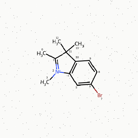 CC1=[N+](C)c2cc(Br)ccc2C1(C)C